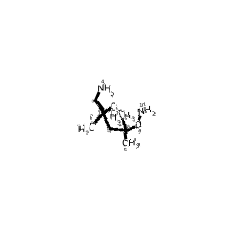 CC(C)(CN)CC(C)(C)ON